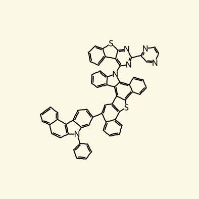 c1ccc(-n2c3cc(-c4cc5c(sc6c7ccccc7c7c(c8ccccc8n7-c7nc(-c8cnccn8)nc8sc9ccccc9c78)c56)c5ccccc45)ccc3c3c4ccccc4ccc32)cc1